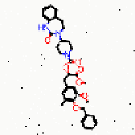 COC(=O)C(Cc1cc(C)c(OCc2ccccc2)c(OC)c1)OC(=O)N1CCC(N2CCc3ccccc3NC2=O)CC1